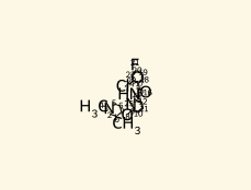 CC1CN(C)CCC1Oc1cccc(NC(=O)c2ccc(F)cc2Cl)n1